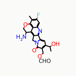 Cc1c(F)cc2nc3c(c4c2c1OCC4N)Cn1c-3cc(C(C)O)c(COC=O)c1=O